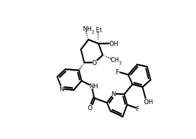 CC[C@]1(O)[C@H](C)O[C@H](c2ccncc2NC(=O)c2ccc(F)c(-c3c(O)cccc3F)n2)C[C@@H]1N